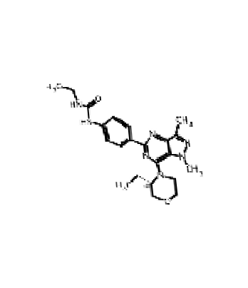 CCNC(=O)Nc1ccc(-c2nc(N3CCOC[C@@H]3CC)c3c(n2)c(C)nn3C)cc1